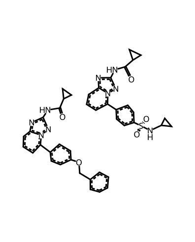 O=C(Nc1nc2cccc(-c3ccc(OCc4ccccc4)cc3)n2n1)C1CC1.O=C(Nc1nc2cccc(-c3ccc(S(=O)(=O)NC4CC4)cc3)n2n1)C1CC1